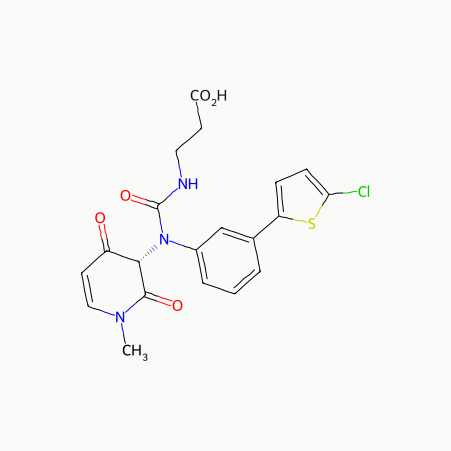 CN1C=CC(=O)[C@H](N(C(=O)NCCC(=O)O)c2cccc(-c3ccc(Cl)s3)c2)C1=O